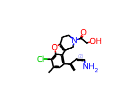 C=C(/C=C\N)c1cc(C)c(Cl)c2oc3c(c12)CN(C(=O)CO)CC3